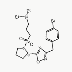 CCN(CC)CCCS(=O)(=O)N1CCC[C@H]1c1nc(Cc2ccc(Br)cc2)no1